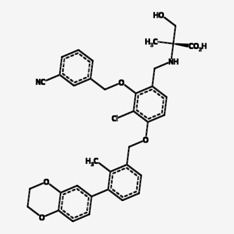 Cc1c(COc2ccc(CN[C@](C)(CO)C(=O)O)c(OCc3cccc(C#N)c3)c2Cl)cccc1-c1ccc2c(c1)OCCO2